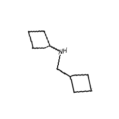 C1CC(CNC2CCC2)C1